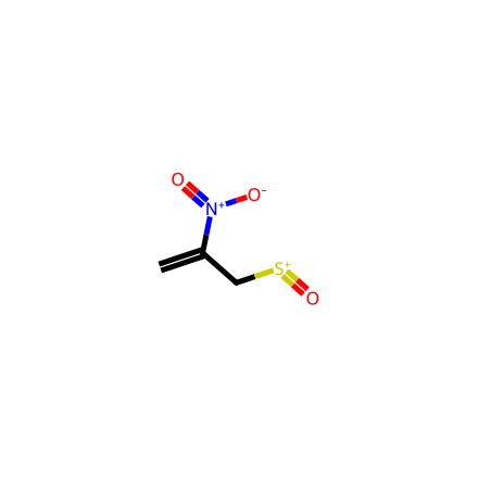 C=C(C[S+]=O)[N+](=O)[O-]